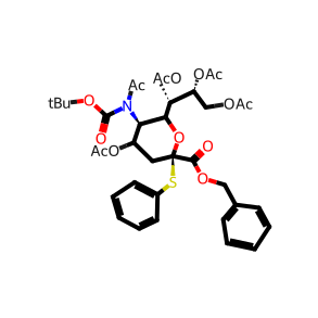 CC(=O)OC[C@@H](OC(C)=O)[C@@H](OC(C)=O)C1O[C@](Sc2ccccc2)(C(=O)OCc2ccccc2)CC(OC(C)=O)[C@H]1N(C(C)=O)C(=O)OC(C)(C)C